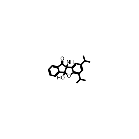 CC(C)c1cc(C(C)C)c2c(c1)C1(N)C(=O)c3ccccc3C1(O)O2